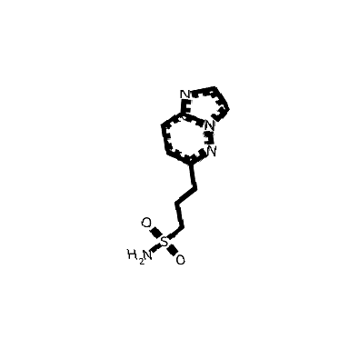 NS(=O)(=O)CCCc1ccc2nccn2n1